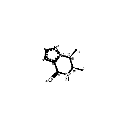 C[C@H]1NC(=O)c2ccnn2[C@H]1C